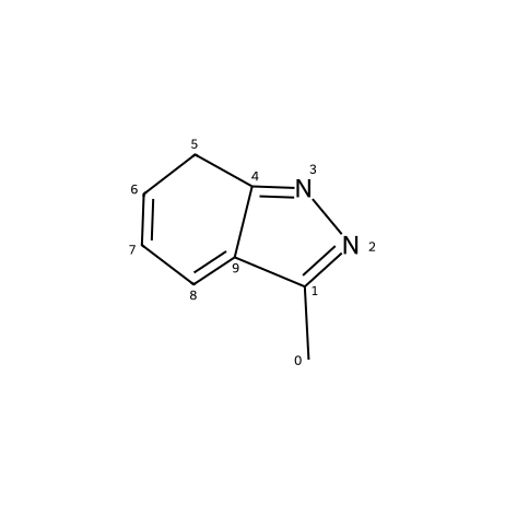 CC1=NN=C2CC=CC=C12